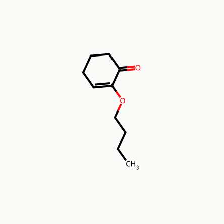 CCCCOC1=CCCCC1=O